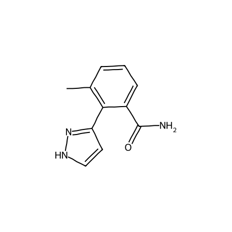 Cc1cccc(C(N)=O)c1-c1cc[nH]n1